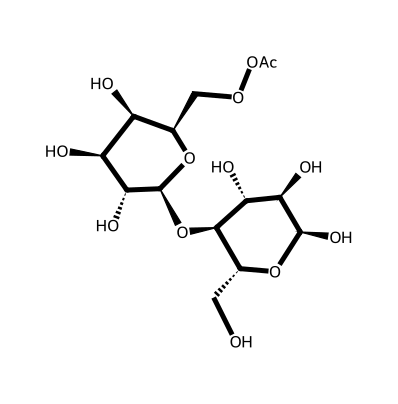 CC(=O)OOC[C@H]1O[C@@H](O[C@H]2[C@H](O)[C@@H](O)[C@@H](O)O[C@@H]2CO)[C@H](O)[C@@H](O)[C@H]1O